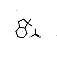 CC(=O)O.CC1(C)CCC2CCCCC21